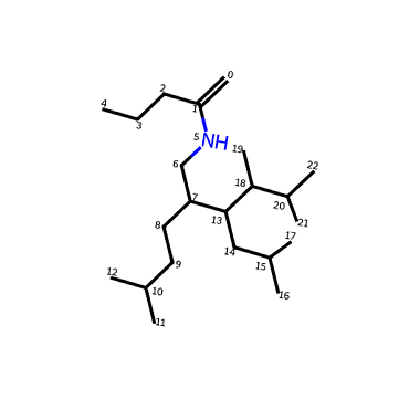 C=C(CCC)NCC(CCC(C)C)C(CC(C)C)C(C)C(C)C